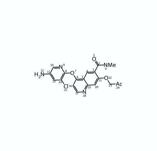 CNC(=O)c1cc2c(Oc3ncc(N)cc3Cl)ccnc2cc1OCC(C)=O